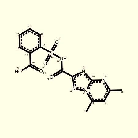 Cc1cc(C)n2nc(C(=O)NS(=O)(=O)c3ccccc3C(=O)O)nc2n1